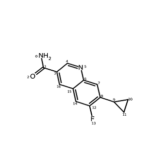 NC(=O)c1cnc2cc(C3CC3)c(F)cc2c1